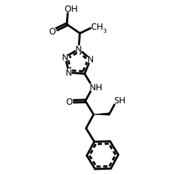 CC(C(=O)O)n1nnc(NC(=O)[C@@H](CS)Cc2ccccc2)n1